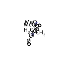 CO/C=C(\C(=O)OC)c1ccccc1COc1cc(C)c(/C=N/OCCCOc2ccccc2)cc1C